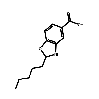 CCCCCC1Nc2cc(C(=O)O)ccc2O1